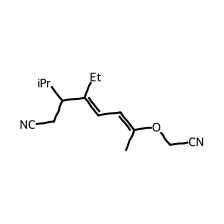 CC/C(=C\C=C(/C)OCC#N)C(CC#N)C(C)C